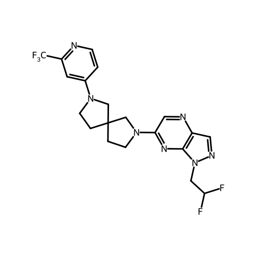 FC(F)Cn1ncc2ncc(N3CCC4(CCN(c5ccnc(C(F)(F)F)c5)C4)C3)nc21